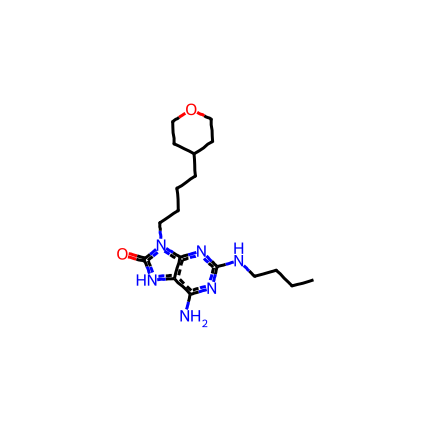 CCCCNc1nc(N)c2[nH]c(=O)n(CCCCC3CCOCC3)c2n1